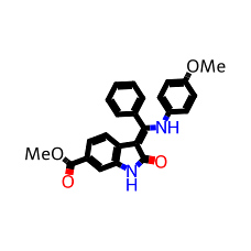 COC(=O)c1ccc2c(c1)NC(=O)/C2=C(\Nc1ccc(OC)cc1)c1ccccc1